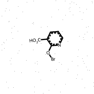 O=C(O)c1cccnc1OBr